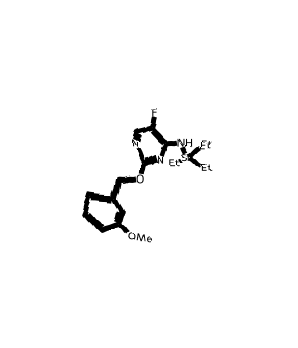 CC[Si](CC)(CC)Nc1nc(OCc2cccc(OC)c2)ncc1F